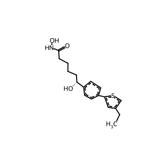 CCc1csc(-c2ccc([C@H](O)CCCCC(=O)NO)cc2)c1